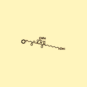 CCCCCCCCCCCCCCCCCCNC(=O)OC[C@@H](COC(=O)CCC[n+]1ccccc1)OC(=O)OC